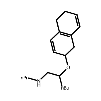 CCCCC(CNCCC)OC1C=CC2=C(C=CCC2)C1